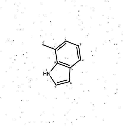 Cc1cc[c]c2cc[nH]c12